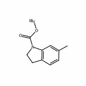 Cc1ccc2c(c1)N(C(=O)OC(C)(C)C)CC2